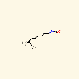 CC(C)CCCCCCN=C=O